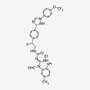 CCCc1ccc(C)cc1N(C=O)/C(=N/C(=O)NCC(F)c1ccc(C2N=CN(c3ccc(OC(F)(F)F)cc3)N2)cc1)NCC